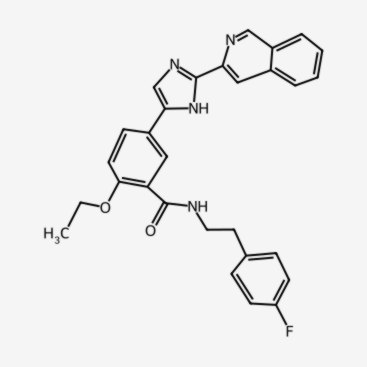 CCOc1ccc(-c2cnc(-c3cc4ccccc4cn3)[nH]2)cc1C(=O)NCCc1ccc(F)cc1